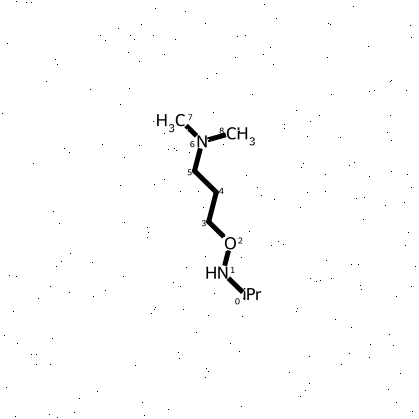 CC(C)NOCCCN(C)C